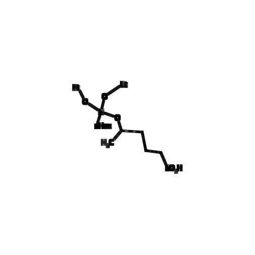 CCCCCC[Si](OCC)(OCC)OC(C)CCCS(=O)(=O)O